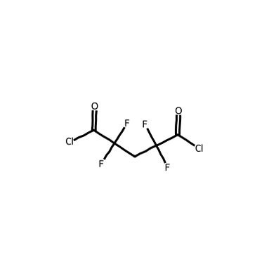 O=C(Cl)C(F)(F)CC(F)(F)C(=O)Cl